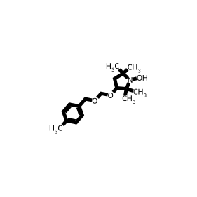 Cc1ccc(COCOC2CC(C)(C)N(O)C2(C)C)cc1